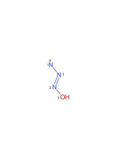 [N]N=NO